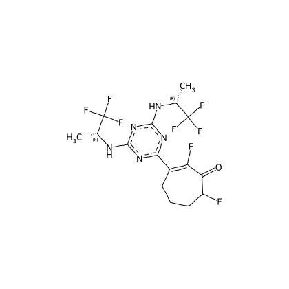 C[C@@H](Nc1nc(N[C@H](C)C(F)(F)F)nc(C2=C(F)C(=O)C(F)CCC2)n1)C(F)(F)F